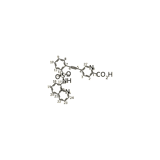 O=C(O)c1ccc(C#Cc2ccccc2S(=O)(=O)Nc2cccc3cccnc23)cn1